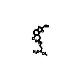 CN(C)CC/N=[SH](=O)/Cc1c(Cl)ccc2nc(C(C)(C)C)oc12